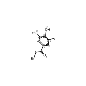 Cc1cc(C(=O)CBr)cc(C(C)(C)C)c1O